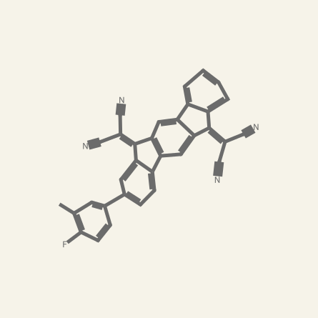 Cc1cc(-c2ccc3c(c2)C(=C(C#N)C#N)c2cc4c(cc2-3)C(=C(C#N)C#N)c2ccccc2-4)ccc1F